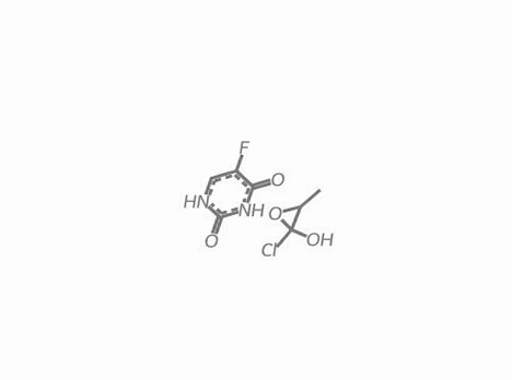 CC1OC1(O)Cl.O=c1[nH]cc(F)c(=O)[nH]1